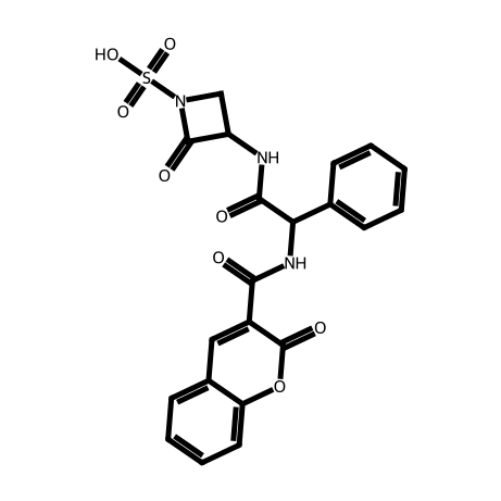 O=C(NC(C(=O)NC1CN(S(=O)(=O)O)C1=O)c1ccccc1)c1cc2ccccc2oc1=O